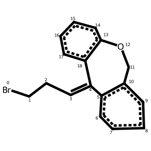 BrCCC=C1c2ccccc2COc2ccccc21